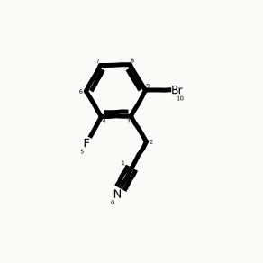 N#CCc1c(F)cccc1Br